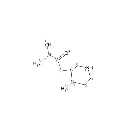 CN(C)C(=O)CC1CNCCN1C